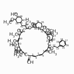 C#C[C@@H]1/C=C/C=C/C=C(\C)C(OCCc2ccccc2)C[C@@H]2CC[C@@H](C)[C@@](O)(O2)C(=O)C(=O)N2CCCC[C@H]2C(=O)O[C@H]([C@H](C)C[C@@H]2CC[C@@H](O)[C@H](OC)C2)CC(=O)[C@H](C)/C=C(\C)[C@@H](O)[C@@H](OC)C(=O)[C@H](C)C1